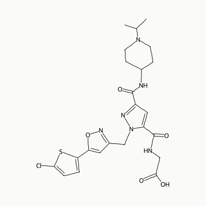 CC(C)N1CCC(NC(=O)c2cc(C(=O)NCC(=O)O)n(Cc3cc(-c4ccc(Cl)s4)on3)n2)CC1